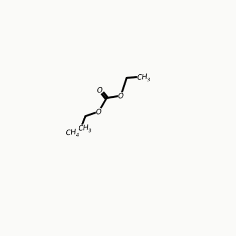 C.CCOC(=O)OCC